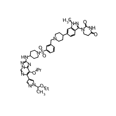 CCOC(C)n1cc(-c2ncn3nc(NC4CCN(S(=O)(=O)c5cccc(CN6CCC(c7ccc8c(N9CCC(=O)NC9=O)nn(C)c8c7)CC6)c5)CC4)nc3c2OC(C)C)cn1